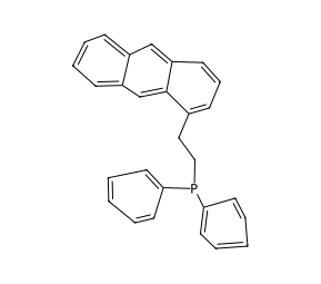 c1ccc(P(CCc2cccc3cc4ccccc4cc23)c2ccccc2)cc1